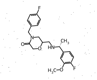 COc1cc([C@@H](C)NCC2CN(Cc3ccc(F)cc3)C(=O)CO2)ccc1F